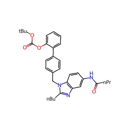 CCCCc1nc2cc(NC(=O)CCC)ccc2n1Cc1ccc(-c2ccccc2OC(=O)OC(C)(C)C)cc1